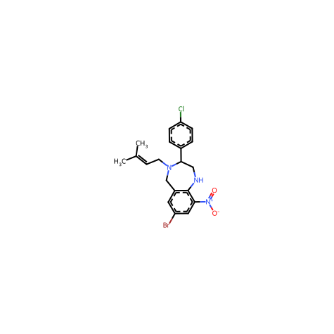 CC(C)=CCN1Cc2cc(Br)cc([N+](=O)[O-])c2NCC1c1ccc(Cl)cc1